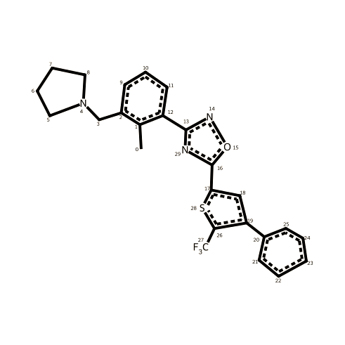 Cc1c(CN2CCCC2)cccc1-c1noc(-c2cc(-c3ccccc3)c(C(F)(F)F)s2)n1